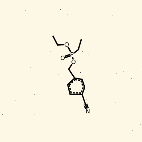 CCOP(=O)(CC)OCc1ccc(C#N)cc1